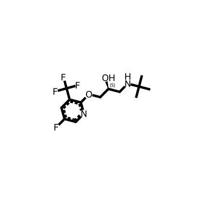 CC(C)(C)NC[C@H](O)COc1ncc(F)cc1C(F)(F)F